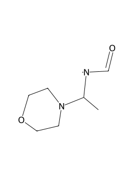 CC([N]C=O)N1CCOCC1